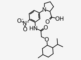 CC1CCC(C(C)C)C(OCC(=O)Nc2cc(N3CCCC3C(=O)O)ccc2[N+](=O)[O-])C1